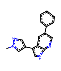 Cn1cc(-c2c[nH]c3ncc(-c4ccccc4)cc23)cn1